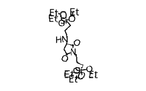 CCO[Si](CCCNC1CC(=O)N(CCC[Si](OCC)(OCC)OCC)C1=O)(OCC)OCC